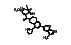 CN/C=C(\C(=N)C(F)(F)F)C(=O)N1CCc2cc(-c3cnc4[nH]cc(C)c4c3)cc(C3CCCN3)c2C1